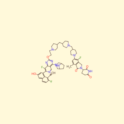 C#Cc1c(F)ccc2cc(O)cc(-c3ncc4c(N5CC6CCC(C5)N6)nc(OCCN5CCC(CC6CCN(CC7CCN(c8cc(C)c9c(c8F)CN(C8CCC(=O)NC8=O)C9=O)CC7)CC6)CC5)nc4c3F)c12